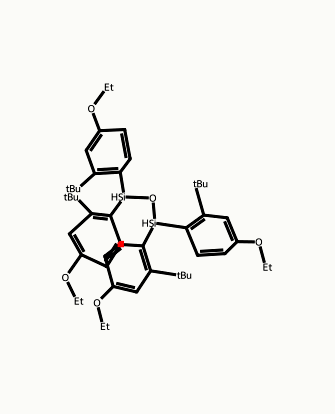 CCOc1ccc([SiH](O[SiH](c2ccc(OCC)cc2C(C)(C)C)c2ccc(OCC)cc2C(C)(C)C)c2ccc(OCC)cc2C(C)(C)C)c(C(C)(C)C)c1